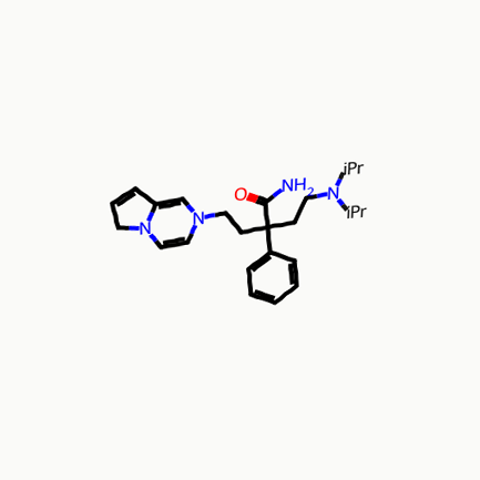 CC(C)N(CCC(CCN1C=CN2CC=CC2=C1)(C(N)=O)c1ccccc1)C(C)C